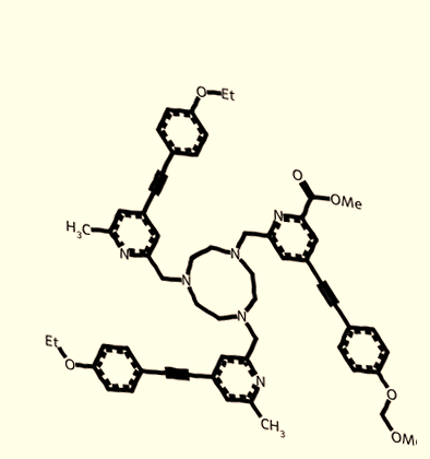 CCOc1ccc(C#Cc2cc(C)nc(CN3CCN(Cc4cc(C#Cc5ccc(OCC)cc5)cc(C)n4)CCN(Cc4cc(C#Cc5ccc(OCOC)cc5)cc(C(=O)OC)n4)CC3)c2)cc1